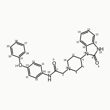 O=C(CN1CCC(n2c(=O)[nH]c3ccccc32)CC1)Nc1ccc(Oc2ccccc2)cc1